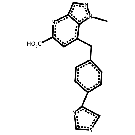 Cn1ncc2nc(C(=O)O)cc(Cc3ccc(-c4cscn4)cc3)c21